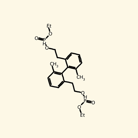 CCO[PH](=O)OCCc1cccc(C)c1-c1c(C)cccc1CCO[PH](=O)OCC